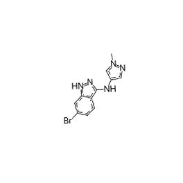 Cn1cc(Nc2n[nH]c3cc(Br)ccc23)cn1